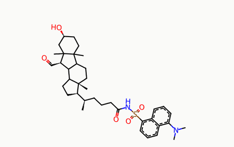 C[C@H](CCCC(=O)NS(=O)(=O)c1cccc2c(N(C)C)cccc12)[C@H]1CCC2C3C(CC[C@@]21C)C1(C)CC[C@H](O)CC1(C)[C@@H]3C=O